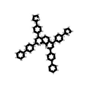 c1ccc(-c2ccc(-c3cc(-c4ccc(-c5cccs5)cc4)c4ccc5c(-c6ccc(-c7cccs7)cc6)cc(-c6ccc(-c7ccccc7)cc6)nc5c4n3)cc2)cc1